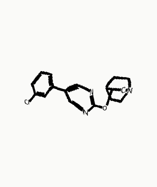 Clc1cccc(-c2cnc(OC3CN4CCC3CC4)nc2)c1